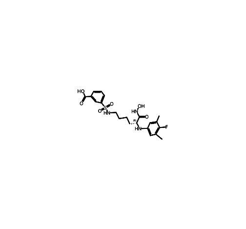 Cc1cc(N[C@H](CCCCNS(=O)(=O)c2cccc(C(=O)O)c2)C(=O)NO)cc(C)c1F